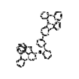 c1ccc(-c2ccccc2-c2ccc(-n3c4ccccc4c4cc(-c5ccc6c(c5)c5ccccc5n6-c5ccccc5-c5ccccc5)ccc43)c3oc4ccccc4c23)cc1